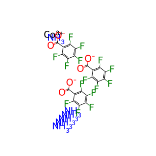 N.N.N.N.N.N.O=C([O-])c1c(F)c(F)c(F)c(F)c1F.O=C([O-])c1c(F)c(F)c(F)c(F)c1F.O=C([O-])c1c(F)c(F)c(F)c(F)c1F.[Co+3]